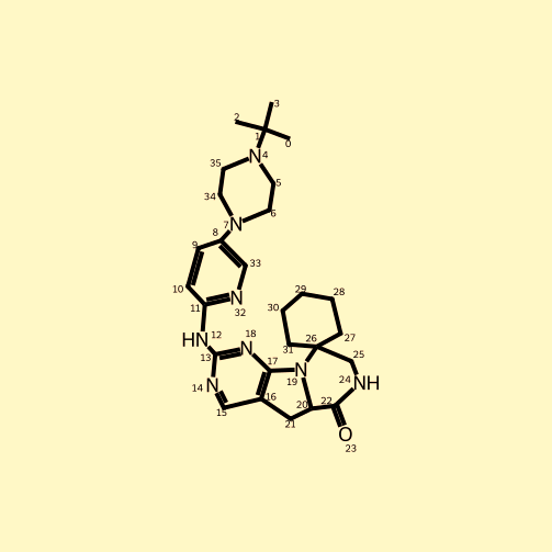 CC(C)(C)N1CCN(c2ccc(Nc3ncc4c(n3)N3C(C4)C(=O)NCC34CCCCC4)nc2)CC1